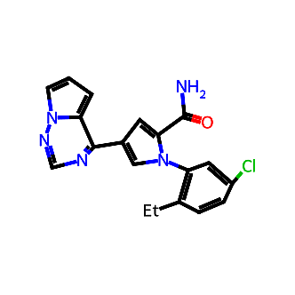 CCc1ccc(Cl)cc1-n1cc(-c2ncnn3cccc23)cc1C(N)=O